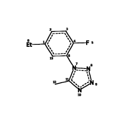 CCc1ccc(F)c(-n2nnnc2C)c1